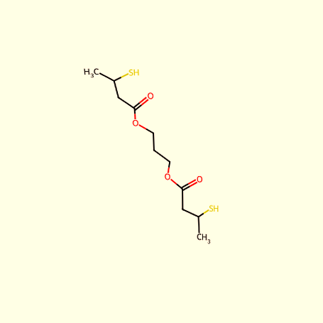 CC(S)CC(=O)OCCCOC(=O)CC(C)S